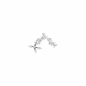 O.O.O.O.O.O.O.O=S(=O)([O-])[O-].[Na+].[Na+]